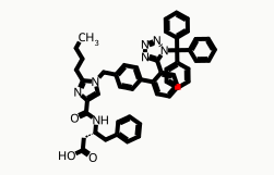 CCCCc1nc(C(=O)N[C@@H](CC(=O)O)Cc2ccccc2)cn1Cc1ccc(-c2ccccc2-c2nnnn2C(c2ccccc2)(c2ccccc2)c2ccccc2)cc1